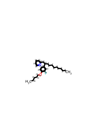 CCCCCCCCCCC(Cc1ccccn1)c1ccc(OCCCCC)c(F)c1